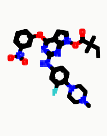 CCC(C)(C)C(=O)On1ccc2c(Oc3cccc([N+](=O)[O-])c3)nc(Nc3ccc(N4CCN(C)CC4)c(F)c3)nc21